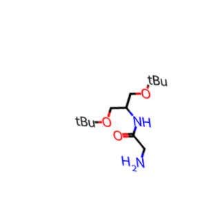 CC(C)(C)OCC(COC(C)(C)C)NC(=O)CN